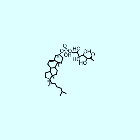 CC(=O)C(O)C(O)C(O)C(O)COP(=O)(O)O[C@H]1CC[C@@]2(C)C(=CCC3C2CC[C@@]2(C)C3CC[C@@H]2[C@H](C)CCCC(C)C)C1